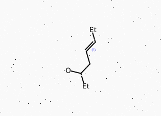 CC/C=C/CC([O])CC